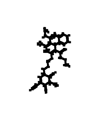 CCOC(=O)C1=C(COCCn2cc(C#N)c(=O)n(C)c2=O)NC(C)=C(C(=O)OC)C1c1ccccc1Cl